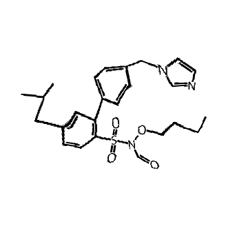 CCCCON(C=O)S(=O)(=O)c1ccc(CC(C)C)cc1-c1ccc(Cn2ccnc2)cc1